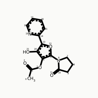 CC(=O)Oc1c(N2CCCC2=O)oc(-c2ccccn2)c1O